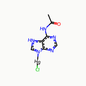 CC(=O)Nc1ncnc2c1[nH]c[n+]2[Hg][Cl]